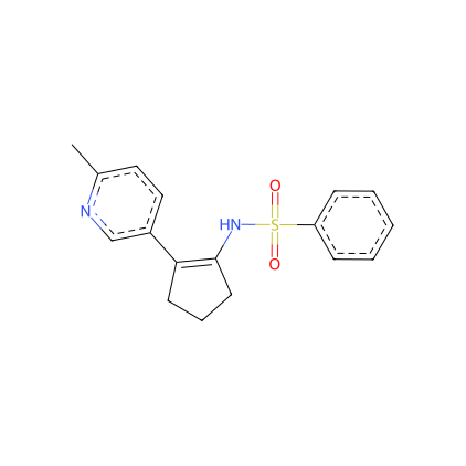 Cc1ccc(C2=C(NS(=O)(=O)c3ccccc3)CCC2)cn1